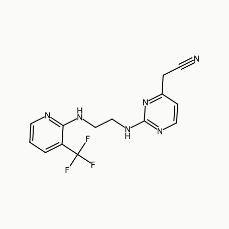 N#CCc1ccnc(NCCNc2ncccc2C(F)(F)F)n1